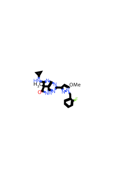 COc1cc(-c2nc3c4c(n2)NC(=O)C4(C)C(NC2CC2)=N3)nn1Cc1ccccc1F